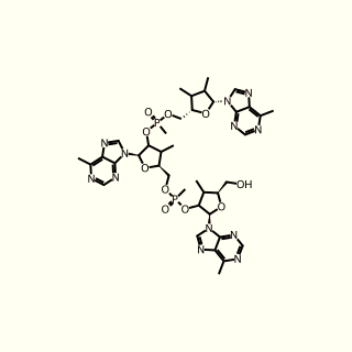 Cc1ncnc2c1ncn2[C@@H]1O[C@H](COP(C)(=O)OC2C(C)[C@@H](COP(C)(=O)OC3C(C)[C@@H](CO)O[C@H]3n3cnc4c(C)ncnc43)O[C@H]2n2cnc3c(C)ncnc32)C(C)C1C